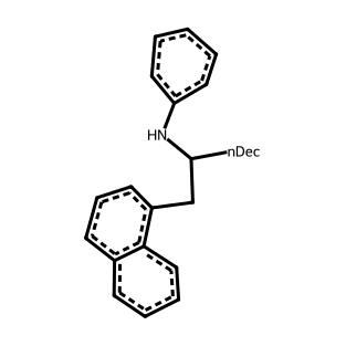 CCCCCCCCCCC(Cc1cccc2ccccc12)Nc1ccccc1